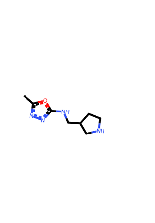 Cc1nnc(NCC2CCNC2)o1